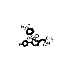 Cc1ccc(S(=O)(=O)N2C(C[C@@H](C)O)CC[C@H]2c2ccc(F)cc2)cc1